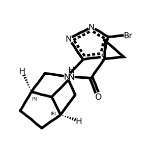 O=C(NC1[C@@H]2CC[C@H]1CN(c1nnc(Br)s1)C2)C1CC1